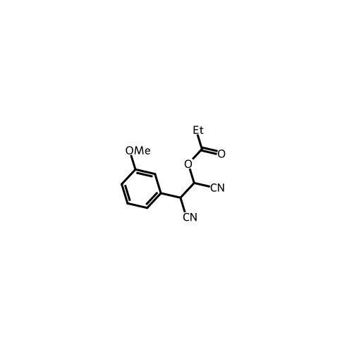 CCC(=O)OC(C#N)C(C#N)c1cccc(OC)c1